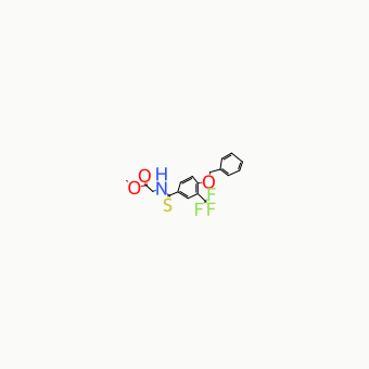 COC(=O)CNC(=S)c1ccc(OCc2ccccc2)c(C(F)(F)F)c1